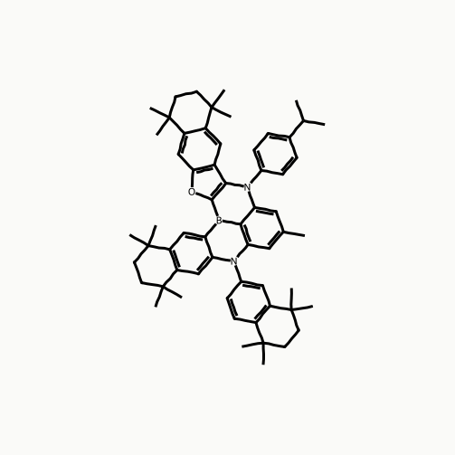 Cc1cc2c3c(c1)N(c1ccc(C(C)C)cc1)c1c(oc4cc5c(cc14)C(C)(C)CCC5(C)C)B3c1cc3c(cc1N2c1ccc2c(c1)C(C)(C)CCC2(C)C)C(C)(C)CCC3(C)C